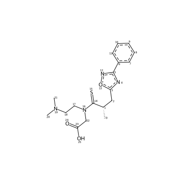 C[C@@H](Cc1nc(-c2ccccc2)no1)C(=S)N(CCN(C)C)CC(=O)O